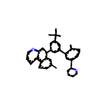 Cc1ccc2c(c1)c(-c1cc(-c3cc(-c4ccccn4)ccc3C)cc(C(C)(C)C)c1)cc1ncccc12